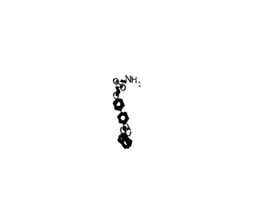 COC1(OO[C@H]2CC[C@@H](c3ccc(OCCS(=O)(=O)CCN)cc3)CC2)C2CC3CC(C2)CC1C3